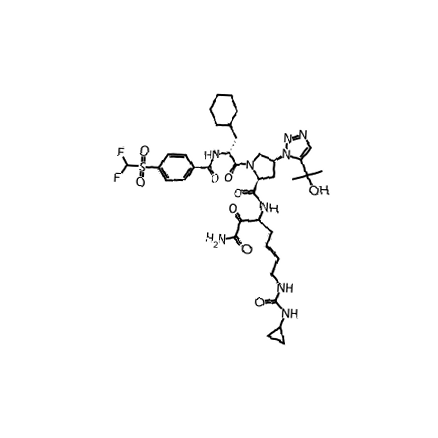 CC(C)(O)c1cnnn1[C@H]1C[C@@H](C(=O)NC(CCCCNC(=O)NC2CC2)C(=O)C(N)=O)N(C(=O)[C@@H](CC2CCCCC2)NC(=O)c2ccc(S(=O)(=O)C(F)F)cc2)C1